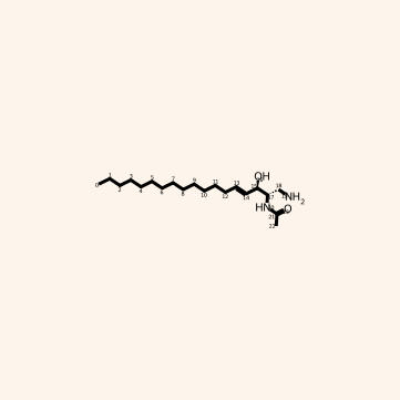 CCCCCCCCCCCCC/C=C/[C@@H](O)[C@H](CN)NC(C)=O